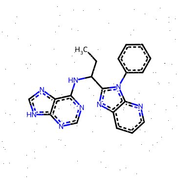 CCC(Nc1ncnc2[nH]cnc12)c1nc2cccnc2n1-c1ccccc1